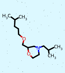 CC(C)CCCOCC1CN(CC(C)C)CCO1